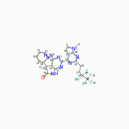 Cn1ccc2c(-c3nc(N)c4c(n3)NC(=O)C4(C)c3ccccc3)nc(CCC(F)(F)C(F)(F)F)nc21